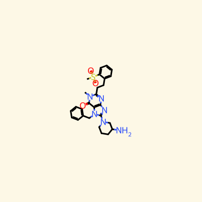 Cn1c(CCc2ccccc2S(C)(=O)=O)nc2nc(N3CCCC(N)C3)n(Cc3ccccc3)c2c1=O